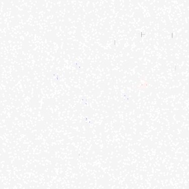 [2H]c1c(-c2nnc3c4ccccc4c(Cl)nn23)noc1C([2H])([2H])[2H]